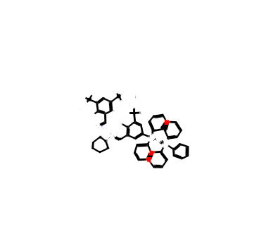 CC(C)(C)c1cc(/C=N/[C@H]2CCCC[C@@H]2/N=C/c2cc(P(=[N+]=P(c3ccccc3)(c3ccccc3)c3ccccc3)(c3ccccc3)c3ccccc3)cc(C(C)(C)C)c2O)c(O)c(C(C)(C)C)c1